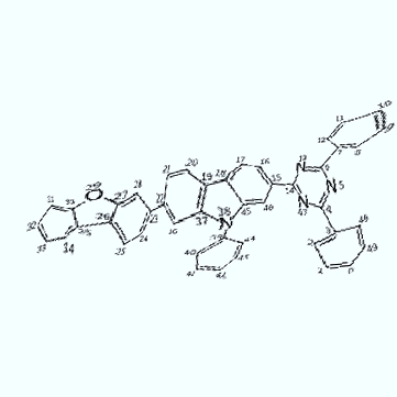 c1ccc(-c2nc(-c3ccccc3)nc(-c3ccc4c5ccc(-c6ccc7c(c6)oc6ccccc67)cc5n(-c5ccccc5)c4c3)n2)cc1